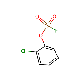 O=S(=O)(F)Oc1ccccc1Cl